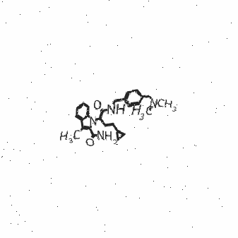 Cc1c(C(N)=O)n(C(CCC2CC2)C(=O)NCc2ccc(CN(C)C)cc2)c2ccccc12